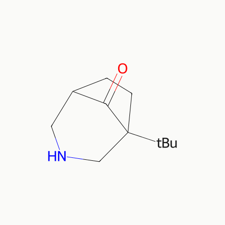 CC(C)(C)C12CCC(CNC1)C2=O